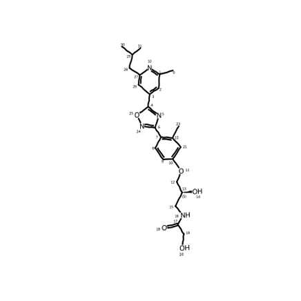 Cc1cc(-c2nc(-c3ccc(OC[C@@H](O)CNC(=O)CO)cc3C)no2)cc(CC(C)C)n1